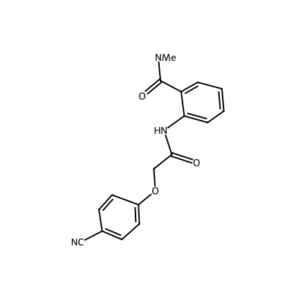 CNC(=O)c1ccccc1NC(=O)COc1ccc(C#N)cc1